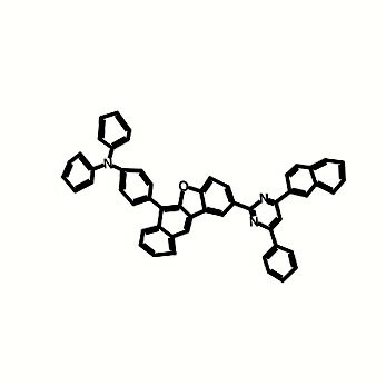 c1ccc(-c2cc(-c3ccc4ccccc4c3)nc(-c3ccc4oc5c(-c6ccc(N(c7ccccc7)c7ccccc7)cc6)c6ccccc6cc5c4c3)n2)cc1